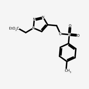 CCOC(=O)Cn1cc(COS(=O)(=O)c2ccc(C)cc2)nn1